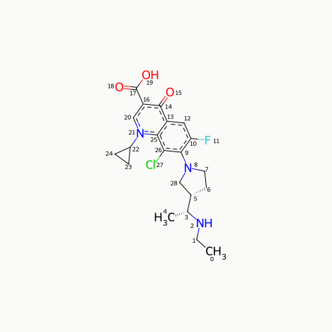 CCN[C@H](C)[C@H]1CCN(c2c(F)cc3c(=O)c(C(=O)O)cn(C4CC4)c3c2Cl)C1